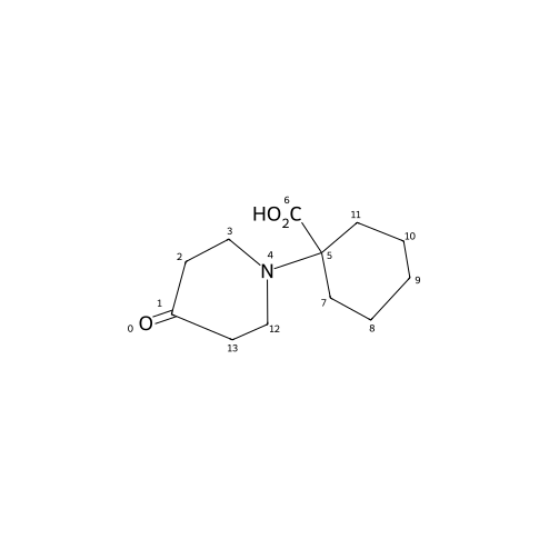 O=C1CCN(C2(C(=O)O)CCCCC2)CC1